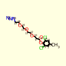 Cc1cc(Cl)c(OC(=O)CCOCCOCCOCCN=[N+]=[N-])c(Cl)c1